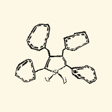 [Li][Si]1([Li])C(c2ccccc2)=C(c2ccccc2)C(c2ccccc2)=C1c1ccccc1